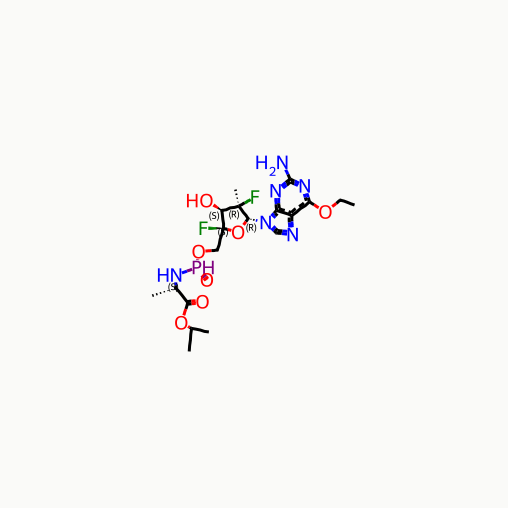 CCOc1nc(N)nc2c1ncn2[C@@H]1O[C@](F)(CO[PH](=O)N[C@@H](C)C(=O)OC(C)C)[C@@H](O)[C@@]1(C)F